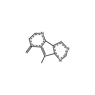 C=c1ccnc2c1=C(C)c1ncncc1-2